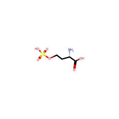 N[C@@H](CCOS(=O)(=O)O)C(=O)O